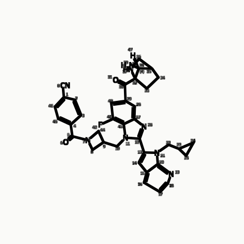 N#Cc1ccc(C(=O)N2CC(Cn3c(-c4cc5cccnc5n4CC4CC4)nc4cc(C(=O)C56CCC(CN5)[C@H]6N)cc(F)c43)C2)cc1